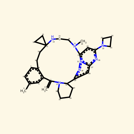 C=C1c2cc(C)ccc2CCC2(CC2)NCCN(C)c2cc(N3CCC3)nc3cc(nn23)C2CCCCN12